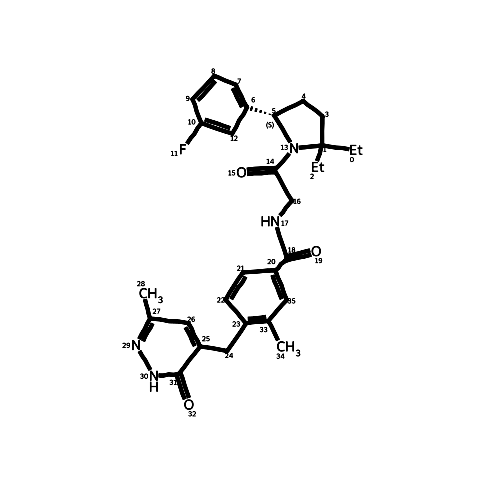 CCC1(CC)CC[C@@H](c2cccc(F)c2)N1C(=O)CNC(=O)c1ccc(Cc2cc(C)n[nH]c2=O)c(C)c1